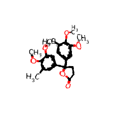 COc1cc(C2(c3cc(C)c(OC)c(OC)c3)CCC(=O)O2)cc(C)c1OC